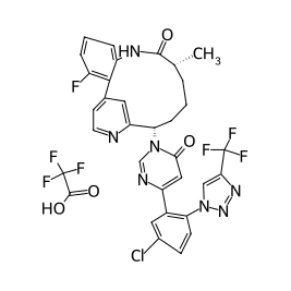 C[C@@H]1CCC[C@H](n2cnc(-c3cc(Cl)ccc3-n3cc(C(F)(F)F)nn3)cc2=O)c2cc(ccn2)-c2c(F)cccc2NC1=O.O=C(O)C(F)(F)F